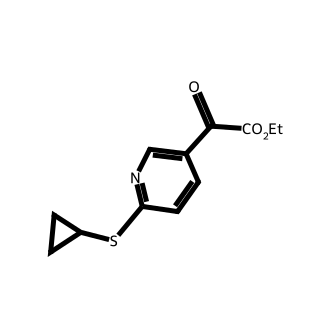 CCOC(=O)C(=O)c1ccc(SC2CC2)nc1